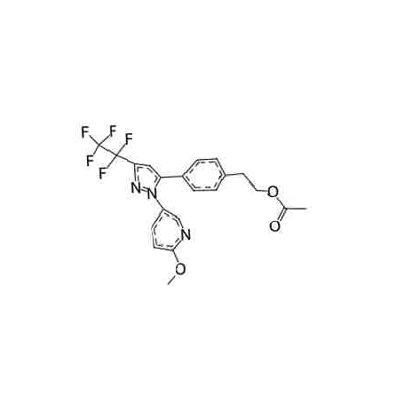 COc1ccc(-n2nc(C(F)(F)C(F)(F)F)cc2-c2ccc(CCOC(C)=O)cc2)cn1